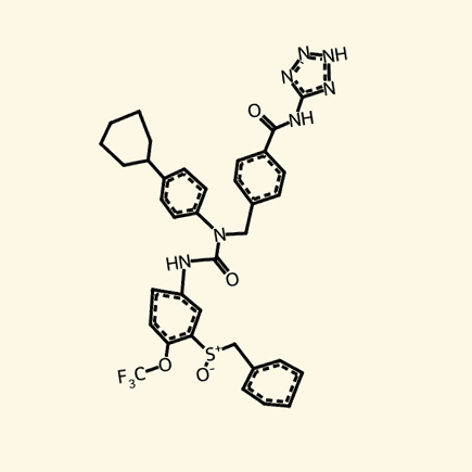 O=C(Nc1nn[nH]n1)c1ccc(CN(C(=O)Nc2ccc(OC(F)(F)F)c([S+]([O-])Cc3ccccc3)c2)c2ccc(C3CCCCC3)cc2)cc1